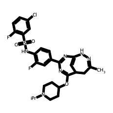 CC1=NNC2=CC(C1)C(OC1CCN(C(C)C)CC1)=NC(c1ccc(NS(=O)(=O)c3cc(Cl)ccc3F)c(F)c1)=N2